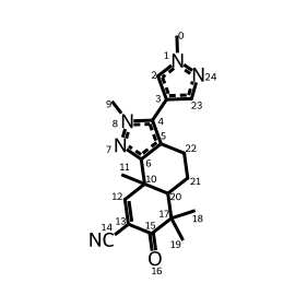 Cn1cc(-c2c3c(nn2C)C2(C)C=C(C#N)C(=O)C(C)(C)C2CC3)cn1